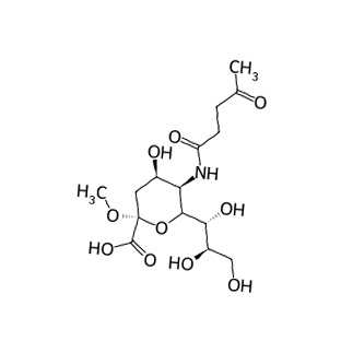 CO[C@]1(C(=O)O)C[C@@H](O)[C@@H](NC(=O)CCC(C)=O)C([C@H](O)[C@H](O)CO)O1